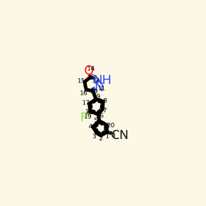 N#Cc1cccc(-c2ccc(C3=NNC(=O)CC3)cc2F)c1